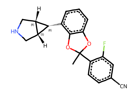 CC1(c2ccc(C#N)cc2F)Oc2cccc([C@@H]3[C@@H]4CNC[C@@H]43)c2O1